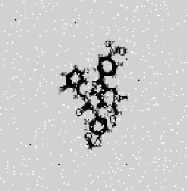 COCCN(C)Cc1c(-c2ccc([N+](=O)[O-])cc2)sc2c1c(=O)n(-c1ccc3c(c1)OCO3)c(=O)n2Cc1c(F)cccc1F